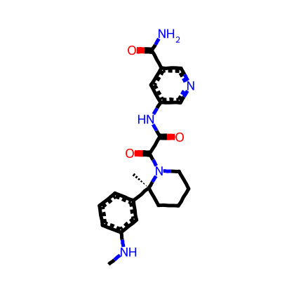 CNc1cccc([C@]2(C)CCCCN2C(=O)C(=O)Nc2cncc(C(N)=O)c2)c1